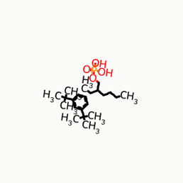 CC(C)(C)c1cccc(C(C)(C)C)c1.CCCCC(CC)COP(=O)(O)O